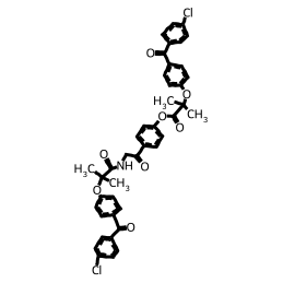 CC(C)(Oc1ccc(C(=O)c2ccc(Cl)cc2)cc1)C(=O)NCC(=O)c1ccc(OC(=O)C(C)(C)Oc2ccc(C(=O)c3ccc(Cl)cc3)cc2)cc1